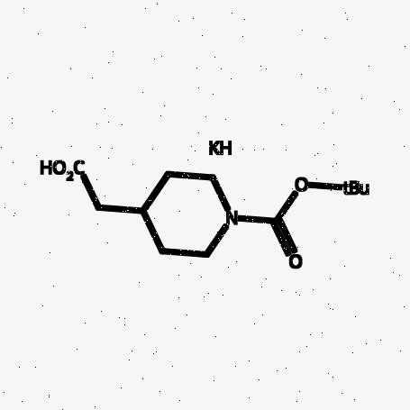 CC(C)(C)OC(=O)N1CCC(CC(=O)O)CC1.[KH]